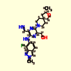 C[C@H]1CC2(CCN(c3nc(C=N)c(Nc4ccc5cn(C)nc5c4F)nc3CO)CC2)CO1